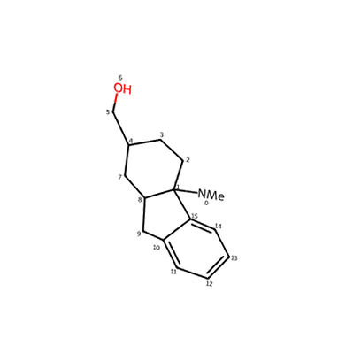 CNC12CCC(CO)CC1Cc1ccccc12